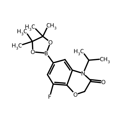 CC(C)N1C(=O)COc2c(F)cc(B3OC(C)(C)C(C)(C)O3)cc21